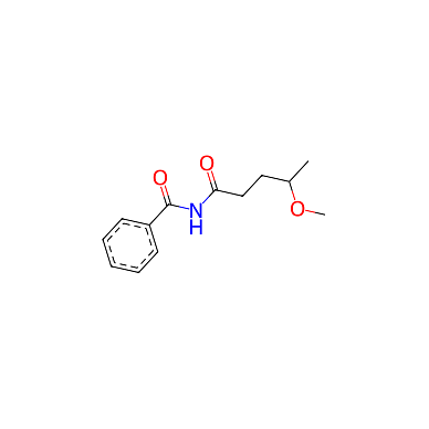 COC(C)CCC(=O)NC(=O)c1ccccc1